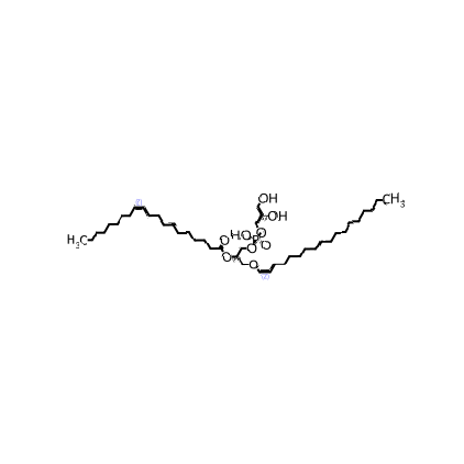 CCCCCCCC/C=C\CCCCCCCCCC(=O)O[C@H](CO/C=C\CCCCCCCCCCCCCCCC)COP(=O)(O)OC[C@@H](O)CO